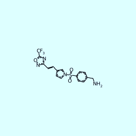 NCc1ccc(S(=O)(=O)n2ccc(/C=C/c3noc(C(F)(F)F)n3)c2)cc1